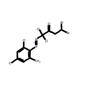 Cc1cc(Cl)cc(Cl)c1/N=N/C(Cl)(Cl)C(=O)CC(Br)Br